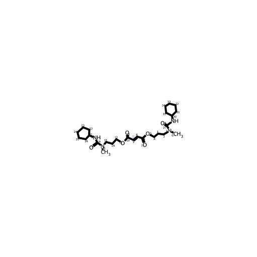 CN(CCCOC(=O)/C=C/C(=O)OCCCN(C)C(=O)NC1CCCCC1)C(=O)NC1CCCCC1